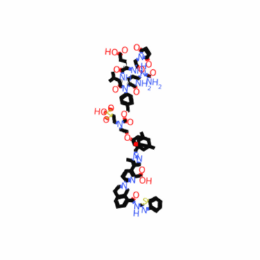 Cc1c(-c2ccc(N3CCc4cccc(C(=O)Nc5nc6ccccc6s5)c4C3)nc2C(=O)O)cnn1CC12CC3(C)CC(C)(C1)CC(OCCN(CCS(=O)(=O)O)C(=O)OCc1ccc(N(C(=O)[C@@H](NC(=O)[C@H](CCC(=O)O)NC(=O)CN4C(=O)C=CC4=O)C(C)C)[C@@H](CCCNC(N)=O)C(N)=O)cc1)(C3)C2